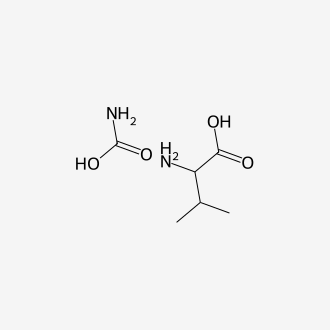 CC(C)C(N)C(=O)O.NC(=O)O